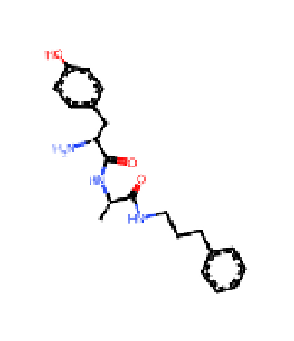 C[C@@H](NC(=O)[C@@H](N)Cc1ccc(O)cc1)C(=O)NCCCc1ccccc1